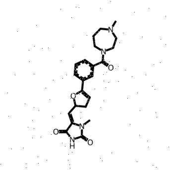 CN1CCCN(C(=O)c2cccc(C3=CCC(/C=C4/C(=O)NC(=O)N4C)O3)c2)CC1